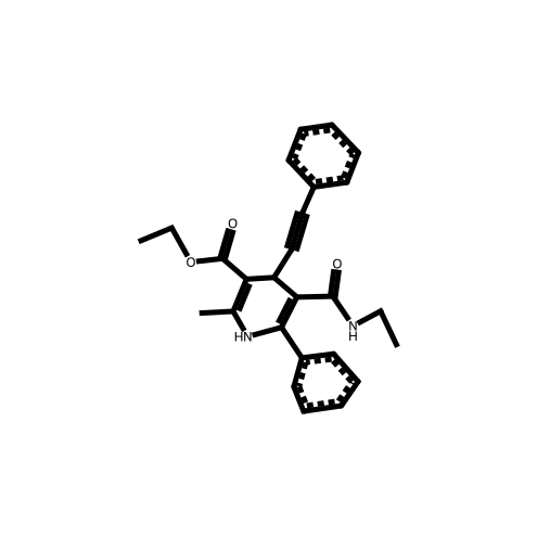 CCNC(=O)C1=C(c2ccccc2)NC(C)=C(C(=O)OCC)C1C#Cc1ccccc1